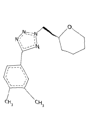 Cc1ccc(-c2nnn(C[C@@H]3CCCCO3)n2)cc1C